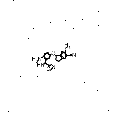 Cc1cc2c(cc1C#N)CCC2Oc1ccc(N)c(C(=N)c2cnco2)c1